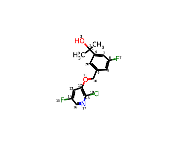 CC(C)(O)c1cc(F)cc(COc2cc(F)cnc2Cl)c1